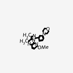 COc1ccc2nc(C)c3c(C)nc(-c4cccc(N5CCOCC5)c4)n3c2n1